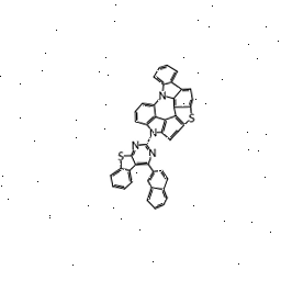 c1ccc2cc(-c3nc(-n4c5ccc6sc7ccc8c9ccccc9n9c%10cccc4c%10c5c6c7c89)nc4sc5ccccc5c34)ccc2c1